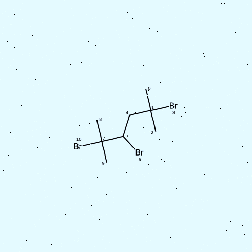 CC(C)(Br)CC(Br)C(C)(C)Br